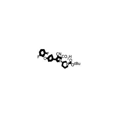 CC(C)(C)OC(=O)N1CCC[C@@H](n2cc(-c3ccc(Oc4c(F)cccc4F)cc3)c(C#N)c2C(=O)O)C1